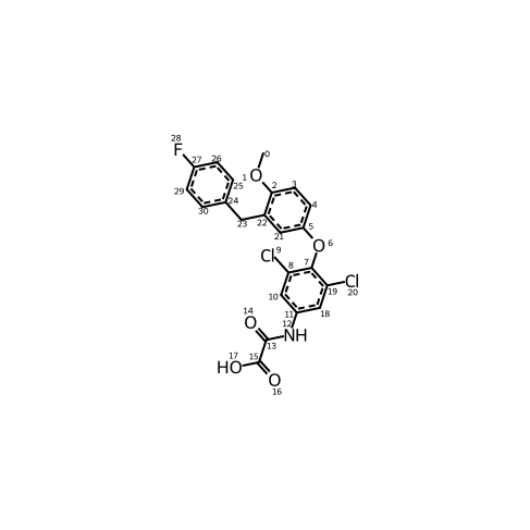 COc1ccc(Oc2c(Cl)cc(NC(=O)C(=O)O)cc2Cl)cc1Cc1ccc(F)cc1